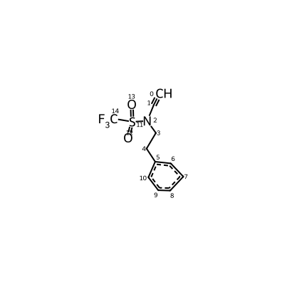 C#CN(CCc1ccccc1)S(=O)(=O)C(F)(F)F